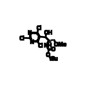 COC[C@H](NC(=O)OC(C)(C)C)C(O)c1c(Cl)nc(Cl)nc1Cl